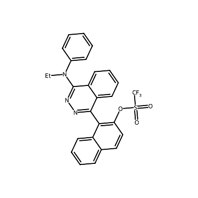 CCN(c1ccccc1)c1nnc(-c2c(OS(=O)(=O)C(F)(F)F)ccc3ccccc23)c2ccccc12